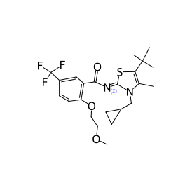 COCCOc1ccc(C(F)(F)F)cc1C(=O)/N=c1\sc(C(C)(C)C)c(C)n1CC1CC1